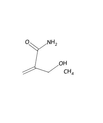 C.C=C(CO)C(N)=O